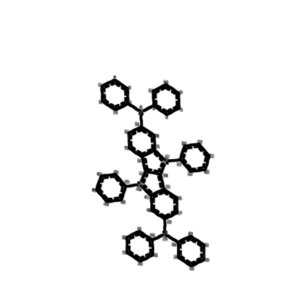 c1ccc(N(c2ccccc2)c2ccc3c(c2)n(-c2ccccc2)c2c4ccc(N(c5ccccc5)c5ccccc5)cc4n(-c4ccccc4)c32)cc1